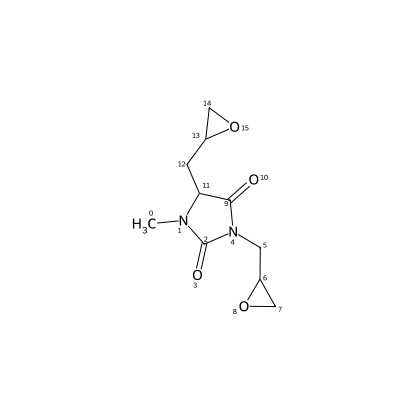 CN1C(=O)N(CC2CO2)C(=O)C1CC1CO1